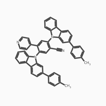 Cc1ccc(-c2ccc3c4ccccc4n(-c4cc(-c5ccncc5)c(-n5c6ccccc6c6ccc(-c7ccc(C)cc7)cc65)cc4C#N)c3c2)cc1